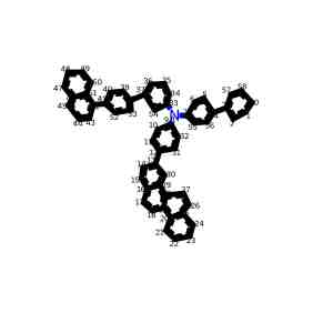 c1ccc(-c2ccc(N(c3ccc(-c4ccc5ccc6c7ccccc7ccc6c5c4)cc3)c3cccc(-c4ccc(-c5cccc6ccccc56)cc4)c3)cc2)cc1